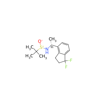 C[C@@H](N[S+]([O-])C(C)(C)C)c1cccc2c1CCC2(F)F